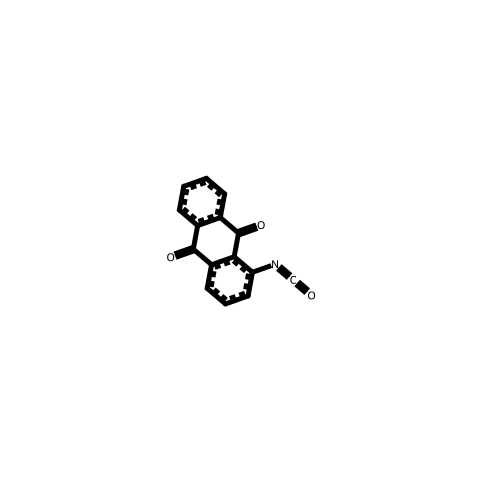 O=C=Nc1cccc2c1C(=O)c1ccccc1C2=O